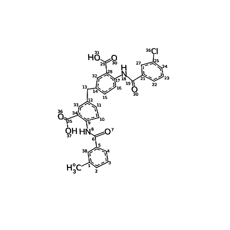 Cc1cccc(C(=O)Nc2ccc(Cc3ccc(NC(=O)c4cccc(Cl)c4)c(C(=O)O)c3)cc2C(=O)O)c1